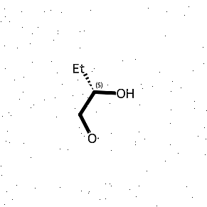 CC[C@H](O)C[O]